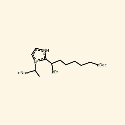 CCCCCCCCCCCCCCCC(CCC)c1[nH]cc[n+]1C(C)CCCCCCCCC